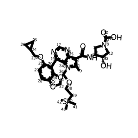 Cc1c(C(=O)N[C@@H]2CN(C(=O)O)C[C@H]2O)c2ncnc(-c3c(OCC4CC4)ccc4c3OCO4)c2n1COCC[Si](C)(C)C